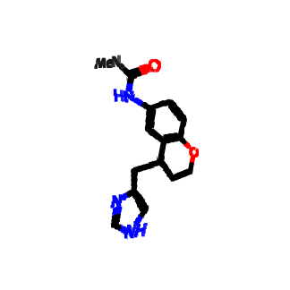 CNC(=O)Nc1ccc2c(c1)C(Cc1c[nH]cn1)CCO2